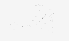 Cc1cc(OCc2ccccc2)ccc1C1C2=C(CC(C)(C)CC2=O)Nc2c(O)cccc2N1C(=O)CCC(=O)O